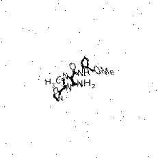 COC[C@@H]1CCC[C@@H]1NC(=O)c1nc(C)c(-c2ncco2)nc1N